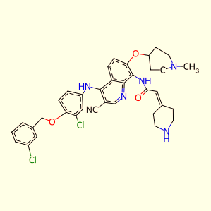 CN1CCC(Oc2ccc3c(Nc4ccc(OCc5cccc(Cl)c5)c(Cl)c4)c(C#N)cnc3c2NC(=O)C=C2CCNCC2)CC1